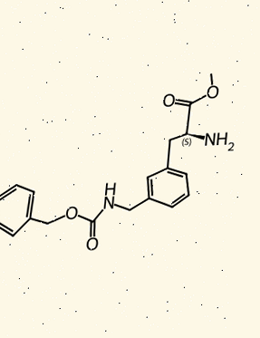 COC(=O)[C@@H](N)Cc1cccc(CNC(=O)OCc2ccccc2)c1